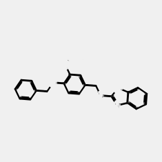 COc1cc(CNc2nc3ccccc3o2)ccc1OCc1ccccc1